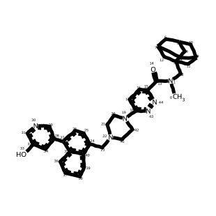 CN(CC12CC3CC(CC(C3)C1)C2)C(=O)c1ccc(N2CCN(Cc3ccc(-c4cncc(O)c4)c4ccccc34)CC2)nn1